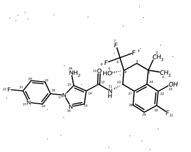 CC1(C)C[C@](O)(C(F)(F)F)[C@@H](NC(=O)c2cnn(-c3ccc(F)nc3)c2N)c2ccc(F)c(O)c21